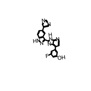 Oc1cc(F)cc(-c2ccnc3[nH]c(-c4n[nH]c5ccc(-c6cncnc6)cc45)nc23)c1